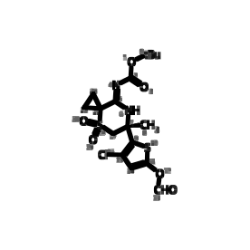 CC(C)(C)OC(=O)/N=C1\N[C@](C)(c2sc(OC=O)cc2Cl)CS(=O)(=O)C12CC2